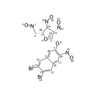 O=NC[C@H]1O[C@@H](Oc2cc3cc(Br)c(Br)cc3cc2N=O)[C@@H](N=O)C1N=O